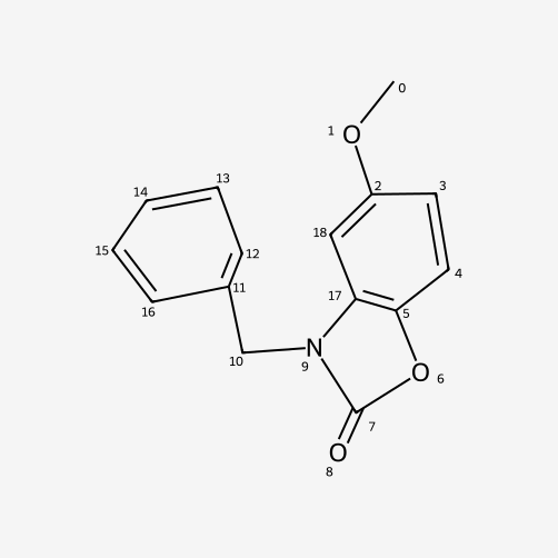 COc1ccc2oc(=O)n(Cc3ccccc3)c2c1